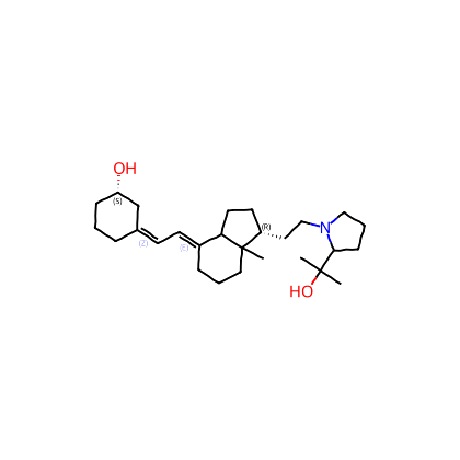 CC(C)(O)C1CCCN1CC[C@H]1CCC2/C(=C/C=C3/CCC[C@H](O)C3)CCCC21C